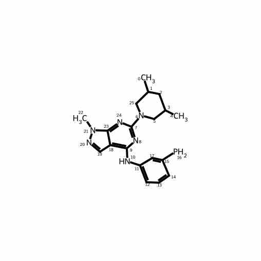 CC1CC(C)CN(c2nc(Nc3cccc(P)c3)c3cnn(C)c3n2)C1